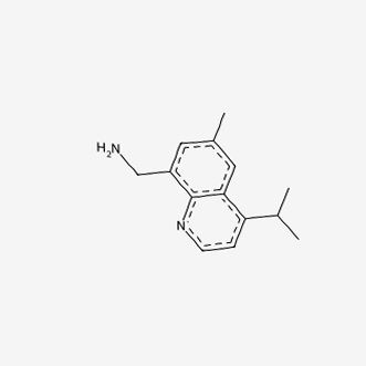 Cc1cc(CN)c2nccc(C(C)C)c2c1